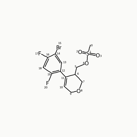 CS(=O)(=O)OCC1COCC=C1c1cc(Br)c(F)cc1F